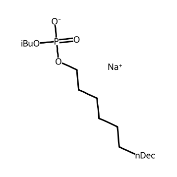 CCCCCCCCCCCCCCCCOP(=O)([O-])OCC(C)C.[Na+]